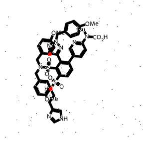 COc1ccc(CN(Cc2ccc(OC)cc2)S(=O)(=O)c2c(S(=O)(=O)NCCc3c[nH]cn3)ccc(-c3ccc(N(C(=O)O)C(C)(C)C)nc3)c2-c2nnn(Cc3ccc(OC)cc3)n2)cc1